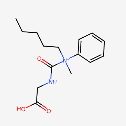 CCCCC[N+](C)(C(=O)NCC(=O)O)c1ccccc1